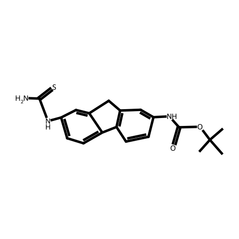 CC(C)(C)OC(=O)Nc1ccc2c(c1)Cc1cc(NC(N)=S)ccc1-2